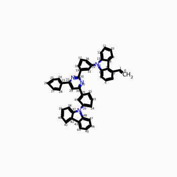 C=Cc1cccc2c1c1ccccc1n2-c1cccc(-c2nc(-c3ccccc3)cc(-c3cccc(-n4c5ccccc5c5ccccc54)c3)n2)c1